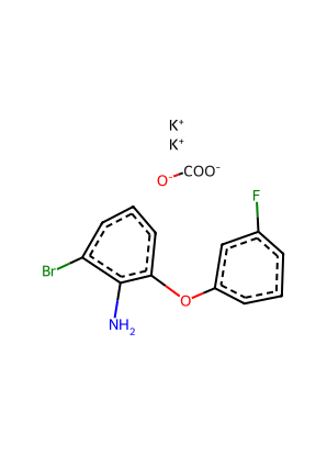 Nc1c(Br)cccc1Oc1cccc(F)c1.O=C([O-])[O-].[K+].[K+]